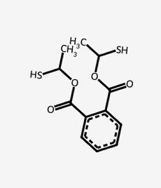 CC(S)OC(=O)c1ccccc1C(=O)OC(C)S